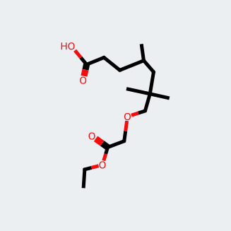 CCOC(=O)COCC(C)(C)CC(C)CCC(=O)O